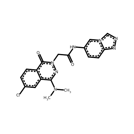 CN(C)c1nn(CC(=O)Nc2ccc3nncn3c2)c(=O)c2ccc(Cl)cc12